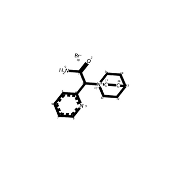 NC(=O)C(c1ccccn1)[N+]12CCC(CC1)CC2.[Br-]